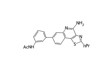 CCCc1nc2c(N)nc3cc(-c4cccc(NC(C)=O)c4)ccc3c2s1